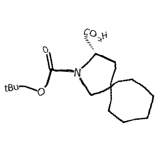 CC(C)(C)OC(=O)N1CC2(CCCCC2)C[C@H]1C(=O)O